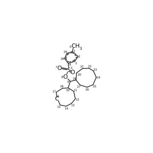 Cc1ccc(S(=O)(=O)OC(C2CCCCCCCC2)C2CCCCCCCC2)cc1